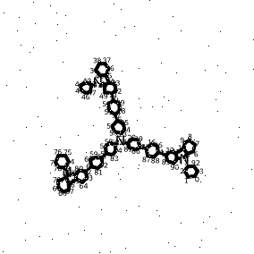 c1ccc(-n2c3ccccc3c3cc(-c4ccc(-c5ccc(N(c6ccc(-c7ccc(-c8ccc9c%10ccccc%10n(-c%10ccccc%10)c9c8)cc7)cc6)c6ccc(-c7ccc(-c8ccc9c%10ccccc%10n(-c%10ccccc%10)c9c8)cc7)cc6)cc5)cc4)ccc32)cc1